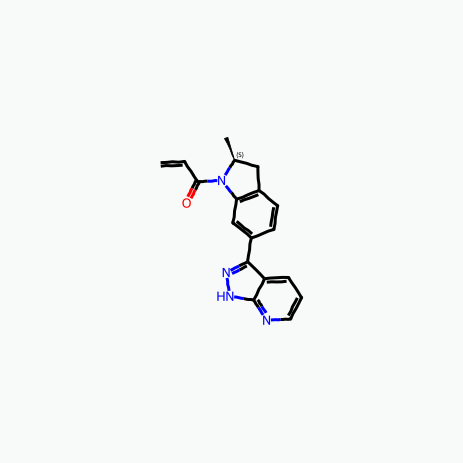 C=CC(=O)N1c2cc(-c3n[nH]c4ncccc34)ccc2C[C@@H]1C